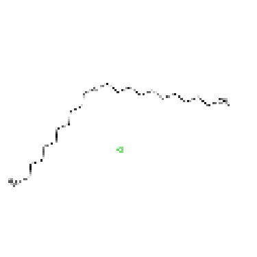 CCCCCCCCCC[CH2][Al+][CH2]CCCCCCCCCC.[Cl-]